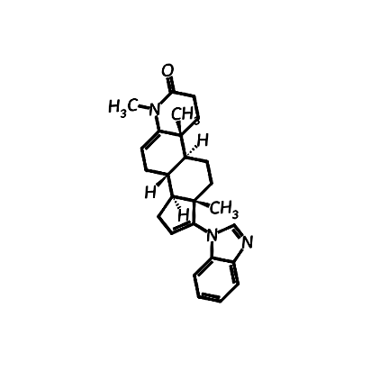 CN1C(=O)CC[C@@]2(C)C1=CC[C@@H]1[C@@H]2CC[C@]2(C)C(n3cnc4ccccc43)=CC[C@@H]12